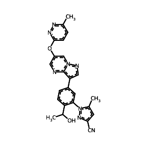 Cc1ccc(Oc2cnc3c(-c4ccc(C(C)O)c(-n5nc(C#N)cc5C)c4)cnn3c2)nn1